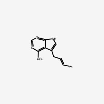 CC(=O)C=CCc1c[nH]c2ncnc(OCC(C)C)c12